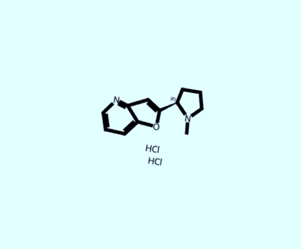 CN1CCC[C@@H]1c1cc2ncccc2o1.Cl.Cl